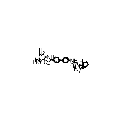 CC1(C)C2CC[C@H]1C(NCC(=O)Nc1ccc(-c3ccc(C(=O)N[C@@H](CN)C(=O)NO)cc3)cc1)C2